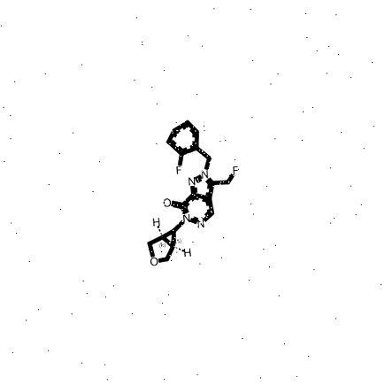 O=c1c2nn(Cc3ccccc3F)c(CF)c2cnn1C1[C@H]2COC[C@@H]12